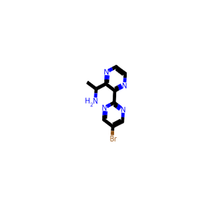 CC(N)c1nccnc1-c1ncc(Br)cn1